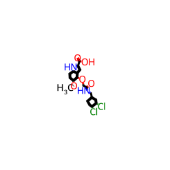 COc1ccc2[nH]c(C(=O)O)cc2c1OCC(=O)NCc1ccc(Cl)c(Cl)c1